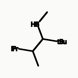 CBC(C(C)C(C)C)C(C)(C)C